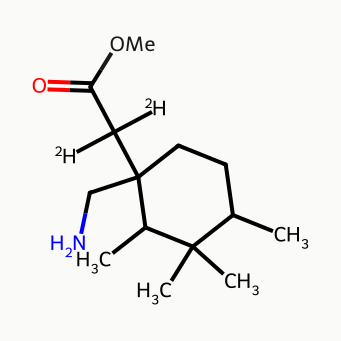 [2H]C([2H])(C(=O)OC)C1(CN)CCC(C)C(C)(C)C1C